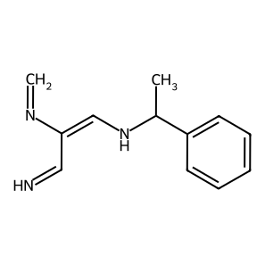 C=N/C(C=N)=C/NC(C)c1ccccc1